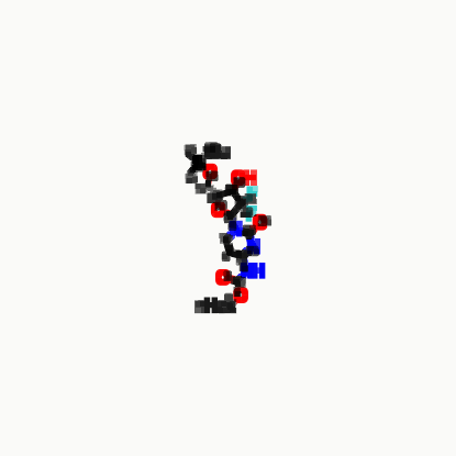 CCCCCCOC(=O)Nc1ccn([C@@H]2O[C@H](CO[Si](C)(C)C(C)(C)C)[C@@H](O)C2(F)F)c(=O)n1